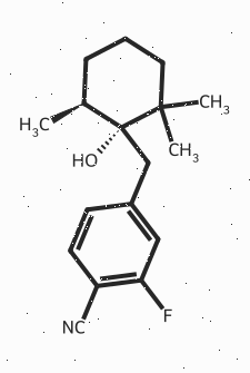 C[C@H]1CCCC(C)(C)[C@@]1(O)Cc1ccc(C#N)c(F)c1